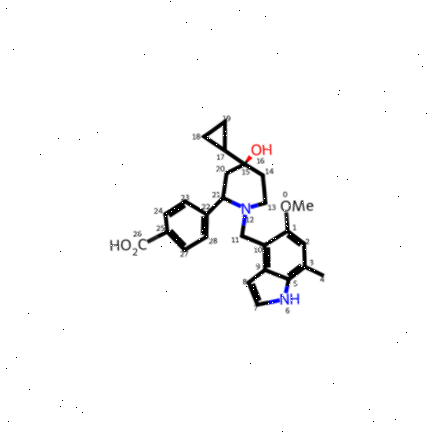 COc1cc(C)c2[nH]ccc2c1CN1CC[C@@](O)(C2CC2)CC1c1ccc(C(=O)O)cc1